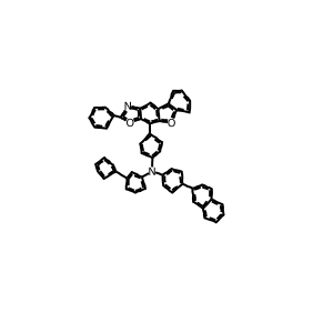 c1ccc(-c2cccc(N(c3ccc(-c4ccc5ccccc5c4)cc3)c3ccc(-c4c5oc(-c6ccccc6)nc5cc5c4oc4ccccc45)cc3)c2)cc1